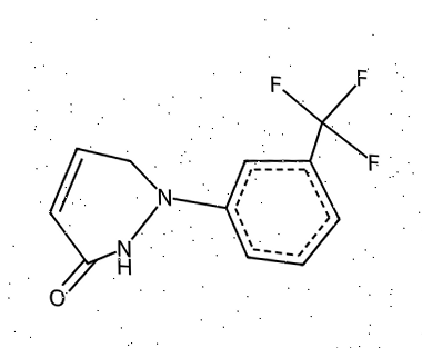 O=C1C=CCN(c2cccc(C(F)(F)F)c2)N1